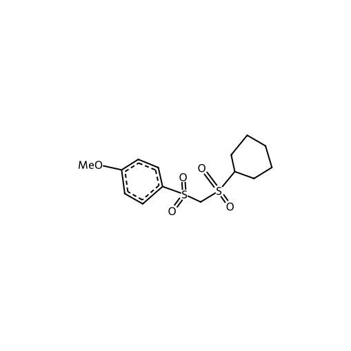 COc1ccc(S(=O)(=O)CS(=O)(=O)C2CCCCC2)cc1